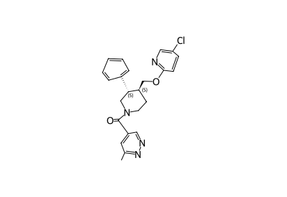 Cc1cc(C(=O)N2CC[C@H](COc3ccc(Cl)cn3)[C@@H](c3ccccc3)C2)cnn1